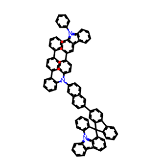 c1ccc(-c2ccc(-c3ccccc3N(c3ccc(-c4ccc5c(c4)c4ccccc4n5-c4ccccc4)cc3)c3ccc4cc(-c5ccc6c(c5)C5(c7ccccc7-6)c6ccccc6-n6c7ccccc7c7cccc5c76)ccc4c3)cc2)cc1